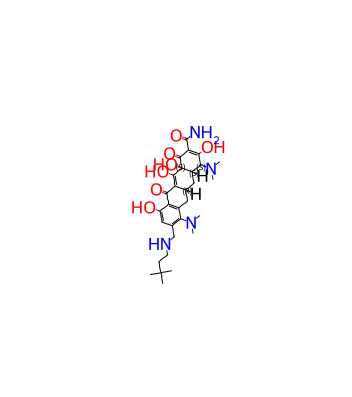 CN(C)c1c(CNCCC(C)(C)C)cc(O)c2c1C[C@H]1C[C@H]3[C@H](N(C)C)C(O)=C(C(N)=O)C(=O)[C@@]3(O)C(O)=C1C2=O